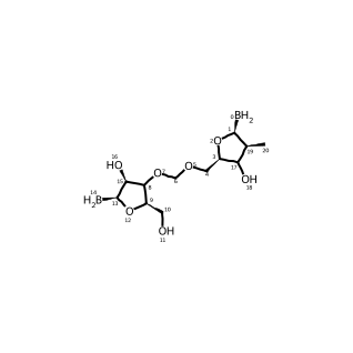 B[C@@H]1O[C@H](COCOC2[C@@H](CO)O[C@@H](B)[C@H]2O)C(O)[C@@H]1C